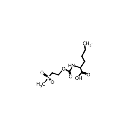 [CH2]CCCC(NC(=O)OCCS(C)(=O)=O)C(=O)O